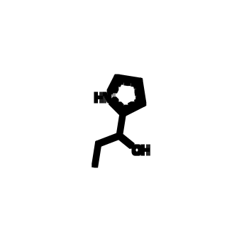 CCC(O)c1ccc[nH]1